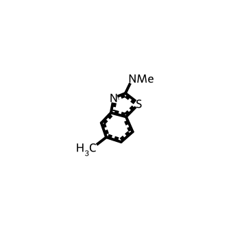 CNc1nc2cc(C)ccc2s1